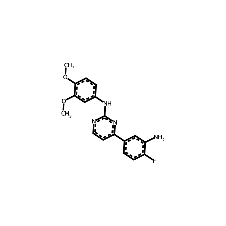 COc1ccc(Nc2nccc(-c3ccc(F)c(N)c3)n2)cc1OC